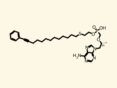 C[C@H](Cn1cnc2c(N)ncnc21)OCP(=O)(O)OCCSCCCCCCCCCCCC#Cc1ccccc1